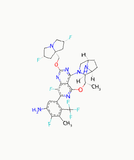 Cc1c(F)c(N)cc(-c2nc3c4c(nc(OC[C@]56C[C@H](F)CN5C[C@H](F)C6)nc4c2F)N2C[C@H]4CC[C@H](N4)[C@H]2[C@H](C)O3)c1C(F)(F)F